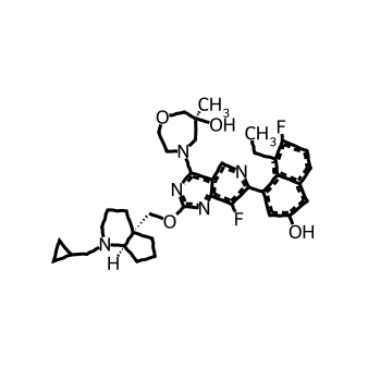 CCc1c(F)ccc2cc(O)cc(-c3ncc4c(N5CCOC[C@@](C)(O)C5)nc(OC[C@]56CCC[C@H]5N(CC5CC5)CCC6)nc4c3F)c12